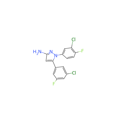 Nc1cc(-c2cc(F)cc(Cl)c2)n(-c2ccc(F)c(Cl)c2)n1